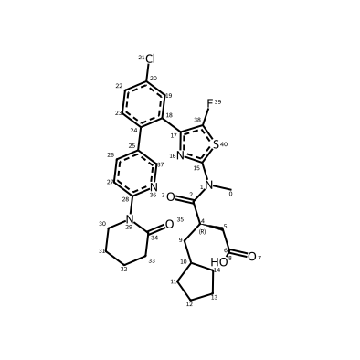 CN(C(=O)[C@@H](CC(=O)O)CC1CCCC1)c1nc(-c2cc(Cl)ccc2-c2ccc(N3CCCCC3=O)nc2)c(F)s1